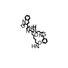 CNC(=O)CCCCC[C@H](NC(=O)Cc1csc(-c2ccccc2)n1)c1ncc(-c2cc3ccccc3nc2OC)[nH]1